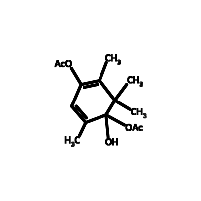 CC(=O)OC1=C(C)C(C)(C)C(O)(OC(C)=O)C(C)=C1